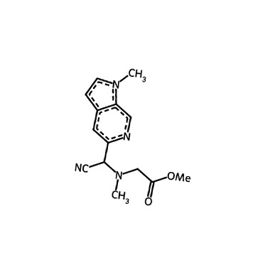 COC(=O)CN(C)C(C#N)c1cc2ccn(C)c2cn1